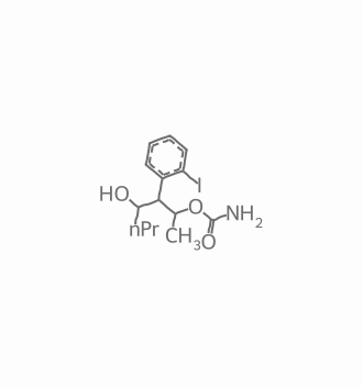 CCCC(O)C(c1ccccc1I)C(C)OC(N)=O